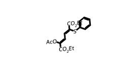 CCOC(=O)/C(=C/C=C(\Sc1ccccc1)C(=O)OCC)OC(C)=O